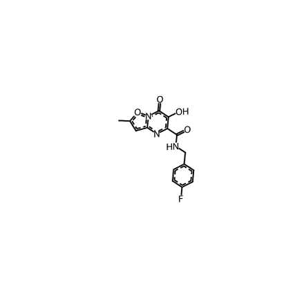 Cc1cc2nc(C(=O)NCc3ccc(F)cc3)c(O)c(=O)n2o1